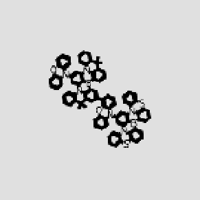 CC1(C)c2ccccc2N2c3cc(N4c5ccccc5Oc5ccccc54)cc4c3B(c3cccc1c32)c1cc(-c2cccc3c2Oc2ccccc2N3c2cc3c5c(c2)N2c6ccccc6Sc6cccc(c62)B5c2cccc5c2N3c2ccccc2S5)cc2c1N4c1ccccc1C2(C)C